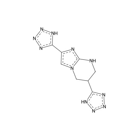 c1c(-c2nnn[nH]2)nc2n1CC(c1nnn[nH]1)CN2